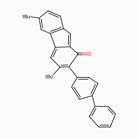 CC(C)(C)C1=C(c2ccc(-c3ccccc3)cc2)C(=O)C2=Cc3ccc(C(C)(C)C)cc3C2=C1